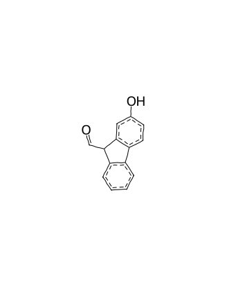 O=CC1c2ccccc2-c2ccc(O)cc21